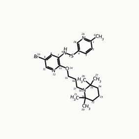 Cc1ccc(SNc2cc(Br)cnc2OCCCN2C(C)(C)CCCC2(C)C)cn1